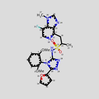 COc1cccc(OC)c1-n1c(NS(=O)(=O)C(C)Cc2ncc(F)c3c2ncn3C)nnc1-c1ccco1